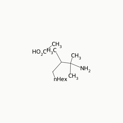 CC(=O)O.CCCCCCCC(C)C(C)(C)N